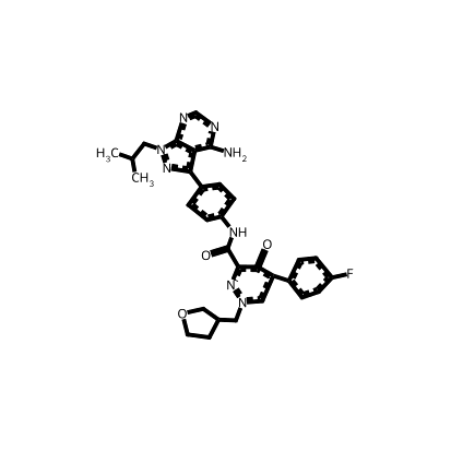 CC(C)Cn1nc(-c2ccc(NC(=O)c3nn(CC4CCOC4)cc(-c4ccc(F)cc4)c3=O)cc2)c2c(N)ncnc21